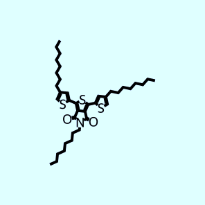 CCCCCCCCc1csc(-c2sc(-c3cc(CCCCCCCC)cs3)c3c2C(=O)N(CCCCCCCC)C3=O)c1